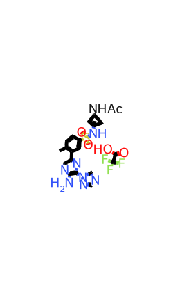 CC(=O)NC12CC(NS(=O)(=O)c3ccc(C)c(-c4cnc(N)c(-n5cncn5)n4)c3)(C1)C2.O=C(O)C(F)(F)F